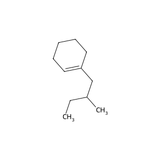 CCC(C)CC1=CCCCC1